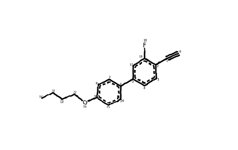 C#Cc1ccc(-c2ccc(OCCCC)cc2)cc1F